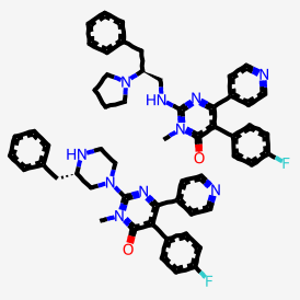 Cn1c(N2CCN[C@@H](Cc3ccccc3)C2)nc(-c2ccncc2)c(-c2ccc(F)cc2)c1=O.Cn1c(NC[C@H](Cc2ccccc2)N2CCCC2)nc(-c2ccncc2)c(-c2ccc(F)cc2)c1=O